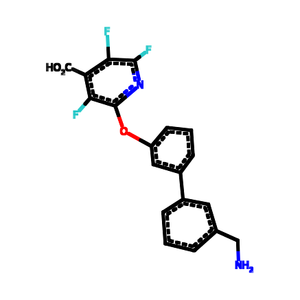 NCc1cccc(-c2cccc(Oc3nc(F)c(F)c(C(=O)O)c3F)c2)c1